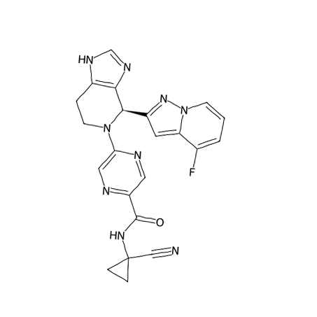 N#CC1(NC(=O)c2cnc(N3CCc4[nH]cnc4[C@H]3c3cc4c(F)cccn4n3)cn2)CC1